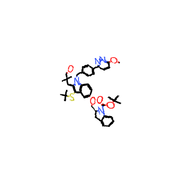 COc1ccc(-c2ccc(Cn3c(CC(C)(C)C=O)c(SC(C)(C)C)c4cc(OC[C@@H]5Cc6ccccc6N5C(=O)OC(C)(C)C)ccc43)cc2)nn1